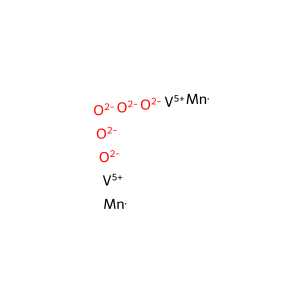 [Mn].[Mn].[O-2].[O-2].[O-2].[O-2].[O-2].[V+5].[V+5]